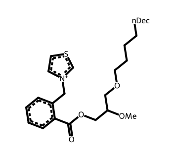 CCCCCCCCCCCCCCOCC(COC(=O)c1ccccc1C[n+]1ccsc1)OC